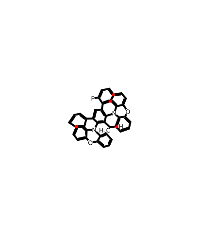 CC(C)c1c(N2c3ccccc3Oc3ccccc32)c(-c2ccccc2F)cc(-c2ccccc2F)c1N1c2ccccc2Oc2ccccc21